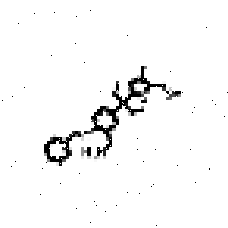 CCC(CC)(c1ccc(OCc2ccccc2)c(CN)c1)c1cc(C)c(CSC)s1